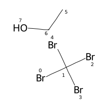 BrC(Br)(Br)Br.CCO